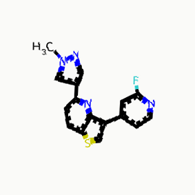 Cn1cc(-c2ccc3scc(-c4ccnc(F)c4)c3n2)cn1